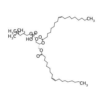 CCCCCCCC/C=C\CCCCCCCC(=O)OC[C@H](COP(=O)(O)OCCC[N+](C)(C)C)OC(=O)CCCCCCC/C=C\CCCCCCCC